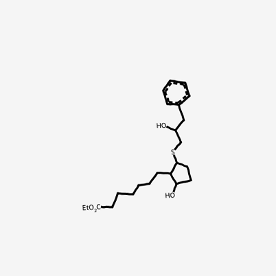 CCOC(=O)CCCCCCC1C(O)CCC1SCC(O)Cc1ccccc1